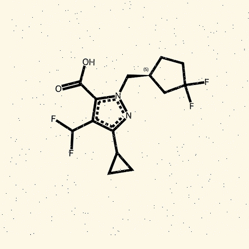 O=C(O)c1c(C(F)F)c(C2CC2)nn1C[C@H]1CCC(F)(F)C1